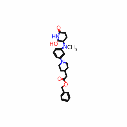 CN(c1cccc(N2CCC(CC(=O)OCc3ccccc3)CC2)c1)C1CCC(=O)NC1O